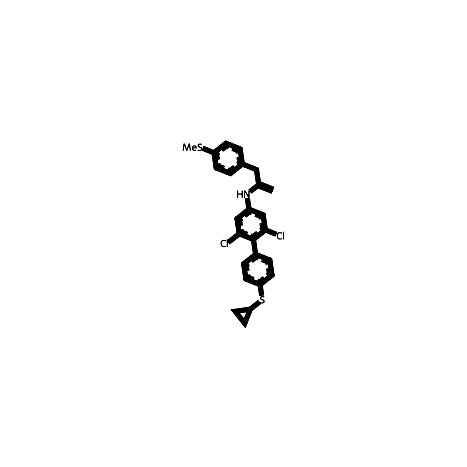 C=C(Cc1ccc(SC)cc1)Nc1cc(Cl)c(-c2ccc(SC3CC3)cc2)c(Cl)c1